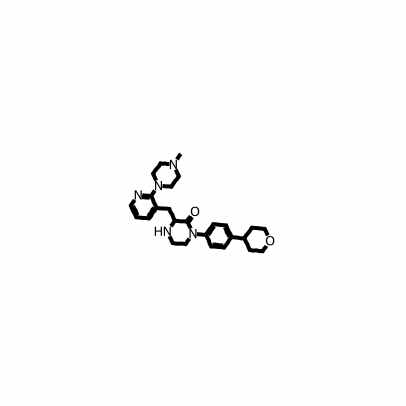 CN1CCN(c2ncccc2CC2NCCN(c3ccc(C4CCOCC4)cc3)C2=O)CC1